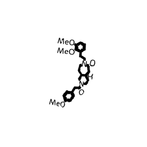 COc1ccc(CC(=O)N2CC[C@@H]3CC(=O)N(CCc4cccc(OC)c4OC)CCC3C2)cc1